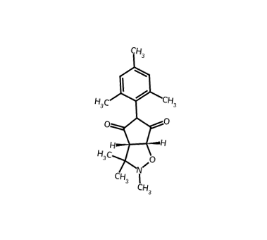 Cc1cc(C)c(C2C(=O)[C@@H]3[C@@H](ON(C)C3(C)C)C2=O)c(C)c1